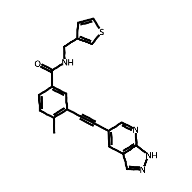 Cc1ccc(C(=O)NCc2ccsc2)cc1C#Cc1cnc2[nH]ncc2c1